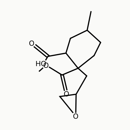 COC(=O)C1(CC2CO2)CCC(C)CC1C(=O)O